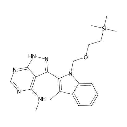 CNc1ncnc2[nH]nc(-c3c(C)c4ccccc4n3COCC[Si](C)(C)C)c12